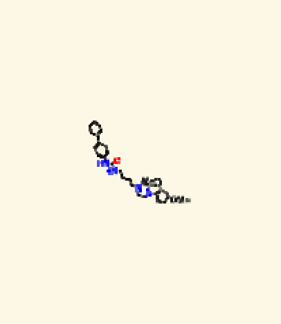 COc1ccc(N2CCN(CCCCNC(=O)Nc3ccc(-c4ccccc4)cc3)CC2)c(OC)c1